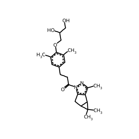 Cc1cc(CCC(=O)n2nc(C)c3c2CC2C3C2(C)C)cc(C)c1OCC(O)CO